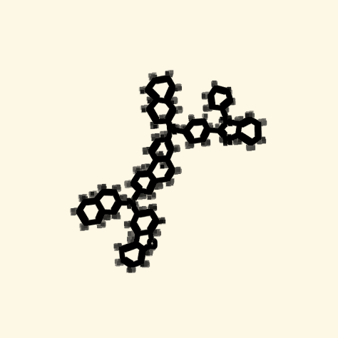 c1ccc(-n2c(-c3ccc(N(c4ccc5ccccc5c4)c4ccc5c(ccc6cc(N(c7ccc8ccccc8c7)c7ccc8oc9ccccc9c8c7)ccc65)c4)cc3)nc3ccccc32)cc1